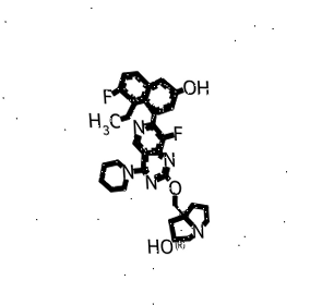 CCc1c(F)ccc2cc(O)cc(-c3ncc4c(N5CCCCC5)nc(OC[C@@]56CCCN5C[C@H](O)C6)nc4c3F)c12